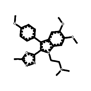 COc1ccc(-c2c(-c3nnc(C)o3)n(CCN(C)C)c3cc(OC)c(OC)cc23)cc1